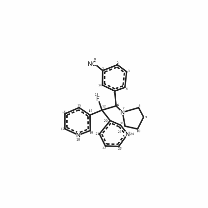 N#Cc1cccc(C(N2CCCC2)C(F)(c2cccnc2)c2cccnc2)c1